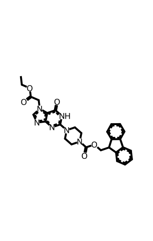 CCOC(=O)Cn1cnc2nc(N3CCN(C(=O)OCC4c5ccccc5-c5ccccc54)CC3)[nH]c(=O)c21